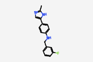 Cc1ncc(-c2ccc(NCc3cccc(F)c3)cc2)[nH]1